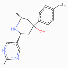 Cc1ncc([C@@H]2CC(O)(c3ccc(C(F)(F)F)cc3)C[C@H](C)N2)cn1